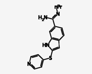 CCC/N=C(\N)c1ccc2cc(Sc3ccncc3)[nH]c2c1